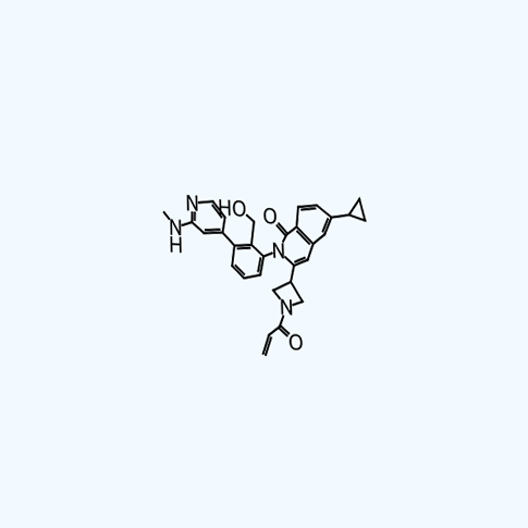 C=CC(=O)N1CC(c2cc3cc(C4CC4)ccc3c(=O)n2-c2cccc(-c3ccnc(NC)c3)c2CO)C1